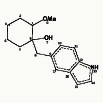 COC1C[CH]CCC1(O)Cc1ccc2[nH]ccc2c1